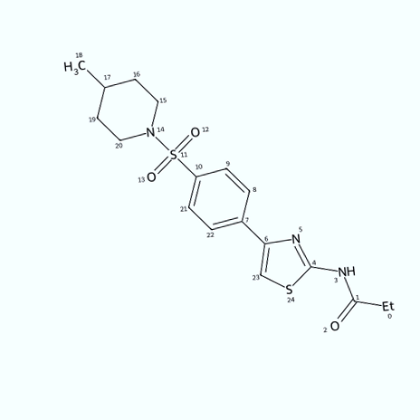 CCC(=O)Nc1nc(-c2ccc(S(=O)(=O)N3CCC(C)CC3)cc2)cs1